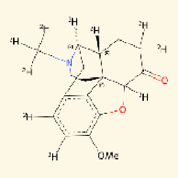 [2H]c1c([2H])c(OC)c2c3c1C[C@@]1([2H])N(C([2H])([2H])[2H])CC[C@@]34C([2H])(O2)C(=O)C([2H])([2H])C[C@@]14[2H]